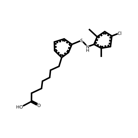 Cc1cc(Cl)cc(C)c1NSc1cccc(CCCCCCC(=O)O)c1